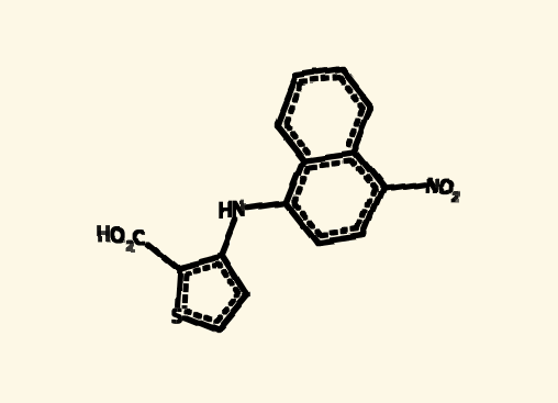 O=C(O)c1sccc1Nc1ccc([N+](=O)[O-])c2ccccc12